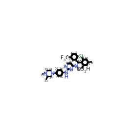 Cc1cc(C)c(C(c2cc(C(F)(F)F)ccc2Cl)N(C(=O)O)c2ccnc(Nc3ccc(N4CCN(C)C(C)C4)cc3)n2)c(C)c1